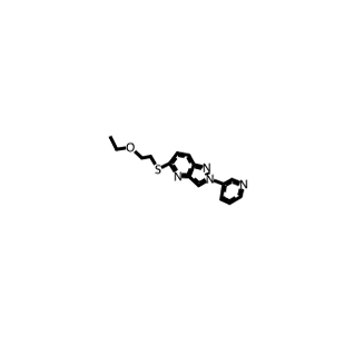 CCOCCSc1ccc2nn(-c3cccnc3)cc2n1